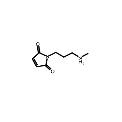 C[SiH2]CCCN1C(=O)C=CC1=O